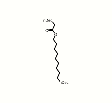 CCCCCCCCCCCCCCCCCCCOC(=O)CCCCCCCCCCC